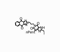 CCCCCn1c(=O)n(CCCn2nc3c(n2)C(=O)c2ccccc2C3=O)c(=O)c2[nH]c(CI)nc21